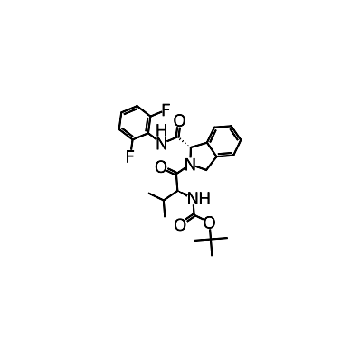 CC(C)[C@H](NC(=O)OC(C)(C)C)C(=O)N1Cc2ccccc2[C@H]1C(=O)Nc1c(F)cccc1F